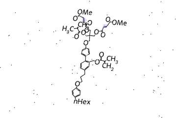 C=C(C)C(=O)OCc1cc(CCCOc2ccc(CCCCCC)cc2)ccc1-c1ccc(OCC(COC(=O)/C=C/C(=O)OC)(COC(=O)/C=C/C(=O)OC)COC(=O)C(=C)C)cc1